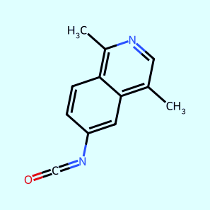 Cc1cnc(C)c2ccc(N=C=O)cc12